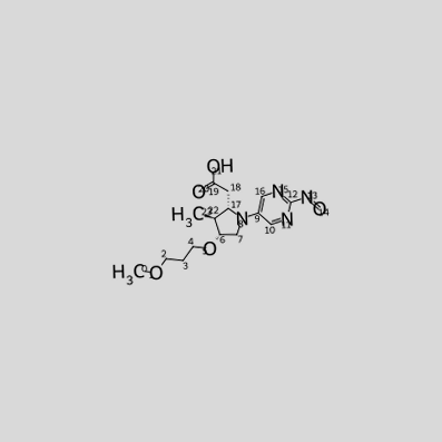 COCCCO[C@H]1CN(c2cnc(N=O)nc2)[C@@H](CC(=O)O)[C@@H]1C